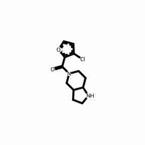 O=C(c1occc1Cl)N1CCC2NCCC2C1